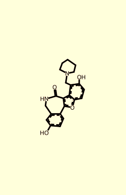 O=C1NCc2cc(O)ccc2-c2oc3ccc(O)c(CN4CCCCC4)c3c21